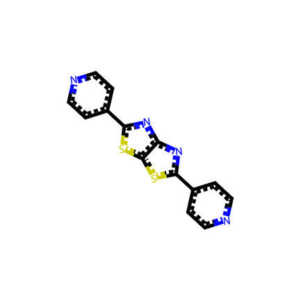 c1cc(-c2nc3nc(-c4ccncc4)sc3s2)ccn1